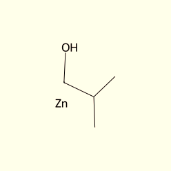 CC(C)CO.[Zn]